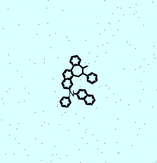 CC1c2ccccc2-c2ccc3ccc(N(c4ccccc4)c4ccc5ccccc5c4)cc3c2CC1c1ccccc1